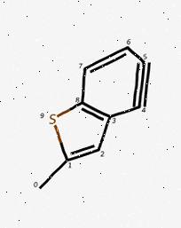 Cc1cc2c#cccc2s1